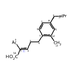 CC(=O)/C(=C\CCc1ccc(CC(C)C)cc1C)C(=O)O